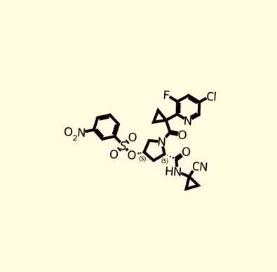 N#CC1(NC(=O)[C@@H]2C[C@H](OS(=O)(=O)c3cccc([N+](=O)[O-])c3)CN2C(=O)C2(c3ncc(Cl)cc3F)CC2)CC1